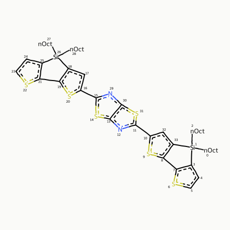 CCCCCCCC[Si]1(CCCCCCCC)c2ccsc2-c2sc(-c3nc4sc(-c5cc6c(s5)-c5sccc5[Si]6(CCCCCCCC)CCCCCCCC)nc4s3)cc21